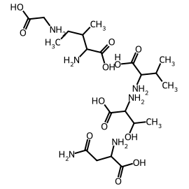 CC(C)C(N)C(=O)O.CC(O)C(N)C(=O)O.CCC(C)C(N)C(=O)O.NC(=O)CC(N)C(=O)O.NCC(=O)O